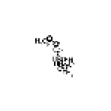 Cc1cn(C)c(=O)c(NC(=O)NCCC(=O)Oc2cccc(-c3cccc(C)c3F)c2)c1O